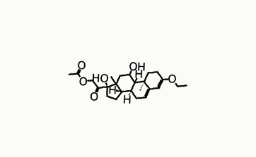 CCOC1=CC2=CC[C@H]3[C@@H]4CC[C@](O)(C(=O)COC(C)=O)C4(C)CC(O)[C@@H]3[C@@]2(C)CC1